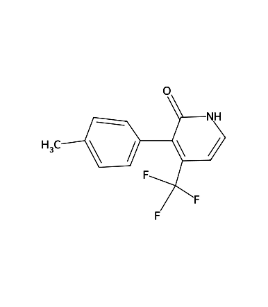 Cc1ccc(-c2c(C(F)(F)F)cc[nH]c2=O)cc1